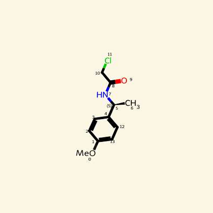 COc1ccc([C@H](C)NC(=O)CCl)cc1